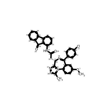 COc1ccc2c(c1)C(c1ccc(Cl)cc1)=N[C@@H](CC(=O)Nc1cccc3c1C(=O)c1ccccc1-3)c1nnc(C)n1-2